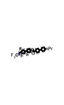 CCCC1CCC(C2CCC(C(=O)Oc3ccc(-c4cc(F)c(/C=C/C(F)(F)F)c(F)c4)c(F)c3)CC2)CC1